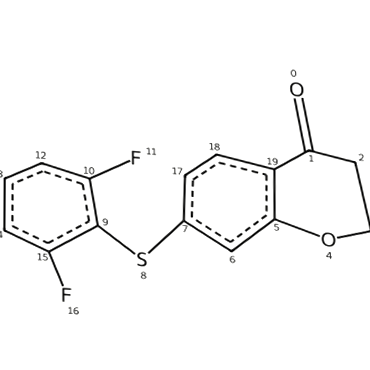 O=C1CCOc2cc(Sc3c(F)cccc3F)ccc21